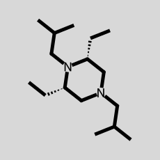 CC[C@@H]1CN(CC(C)C)C[C@H](CC)N1CC(C)C